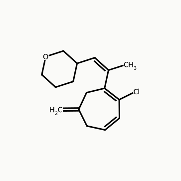 C=C1CC=CC(Cl)=C(/C(C)=C\C2CCCOC2)C1